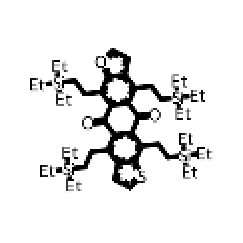 CC[Si](CC)(CC)CCc1c2c(c(CC[Si](CC)(CC)CC)c3occc13)C(=O)c1c(c(CC[Si](CC)(CC)CC)c3sccc3c1CC[Si](CC)(CC)CC)C2=O